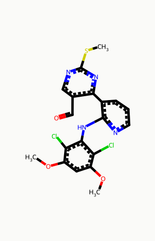 COc1cc(OC)c(Cl)c(Nc2ncccc2-c2nc(SC)ncc2C=O)c1Cl